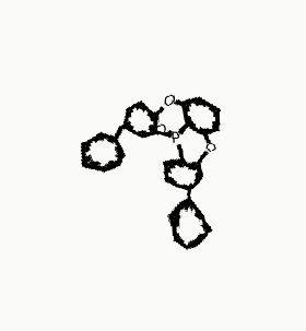 O=P12c3ccc(-c4ccccc4)cc3Oc3cccc(c31)Oc1ccc(-c3ccccc3)cc12